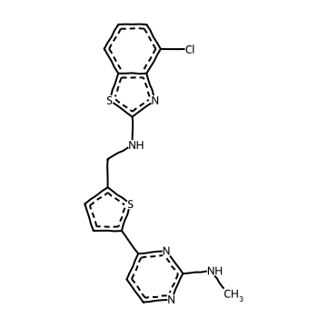 CNc1nccc(-c2ccc(CNc3nc4c(Cl)cccc4s3)s2)n1